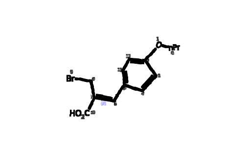 CCCOc1ccc(/C=C(\CBr)C(=O)O)cc1